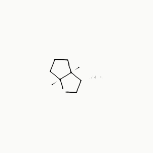 CC(=O)N[C@@H]1CO[C@@H]2C[CH]C[C@H]12